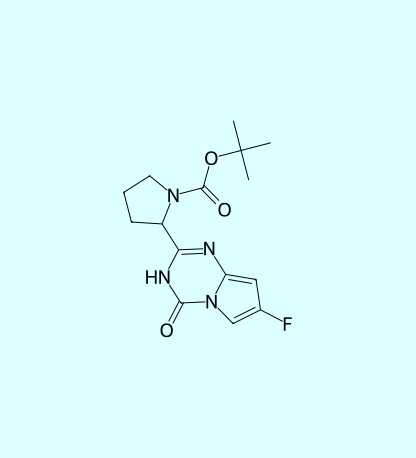 CC(C)(C)OC(=O)N1CCCC1c1nc2cc(F)cn2c(=O)[nH]1